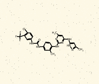 Cc1cc(Nc2cc(C)nc(Nc3ccc(NC(=O)Nc4ccc(Cl)c(C(F)(F)F)c4)cc3C)n2)[nH]n1